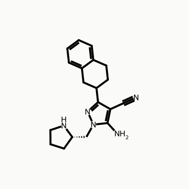 N#Cc1c(C2CCc3ccccc3C2)nn(C[C@@H]2CCCN2)c1N